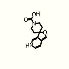 O=C(O)N1CCC2(CC1)OC=C1C=CNC=C12